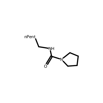 CCCCCCNC(=O)N1CCCC1